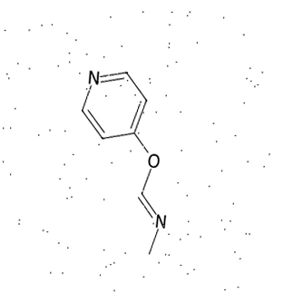 C/N=C/Oc1ccncc1